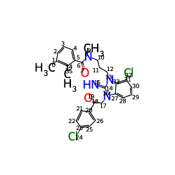 Cc1cccc(C(=O)N(C)CCCn2c(=N)n(CC(=O)c3ccc(Cl)cc3)c3cccc(Cl)c32)c1C